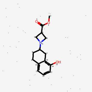 COC(=O)C1CN(C2CCc3cccc(O)c3C2)C1